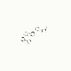 Brc1cccc(-c2cccc(-c3ccc4c(c3)c3ccccc3n4-c3cccc4sc5ccccc5c34)c2)c1